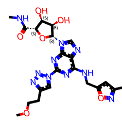 CNC(=O)[C@H]1O[C@@H](n2cnc3c(NCc4cc(C)no4)nc(-n4cc(CCOC)nn4)nc32)[C@H](O)[C@@H]1O